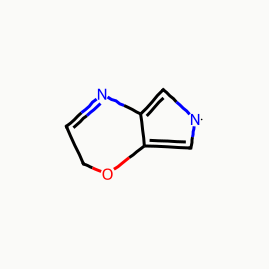 C1=NC2=C[N]C=C2OC1